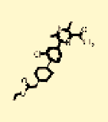 CCOC(=O)C[C@H]1CC[C@@H](c2ccc(-c3nc(C(N)=O)c(C)nc3C)cc2Cl)CC1